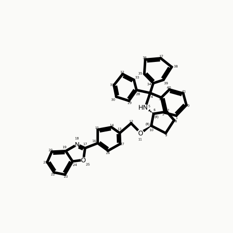 c1ccc(C(N[C@@H]2CCC[C@H]2OCc2ccc(-c3nc4ccccc4o3)cc2)(c2ccccc2)c2ccccc2)cc1